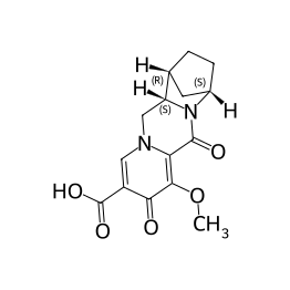 COc1c2n(cc(C(=O)O)c1=O)C[C@@H]1[C@@H]3CC[C@@H](C3)N1C2=O